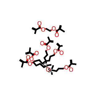 C=C(C)C(=O)OCCCC[Si](C)(O[Si](C)(C)CCCOC(=O)C(=C)C)C(CCCOC(=O)C(=C)C)(CCCOC(=O)C(=C)C)CCCOC(=O)C(=C)C.C=C(C)C(=O)OCCOC(=O)C(=C)C